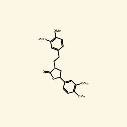 COc1ccc(CCN2CC(c3ccc(OC)c(OC)c3)OC2=O)cc1OC